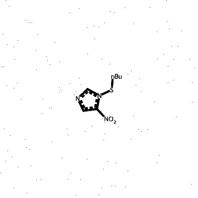 [CH2]CCCSn1cncc1[N+](=O)[O-]